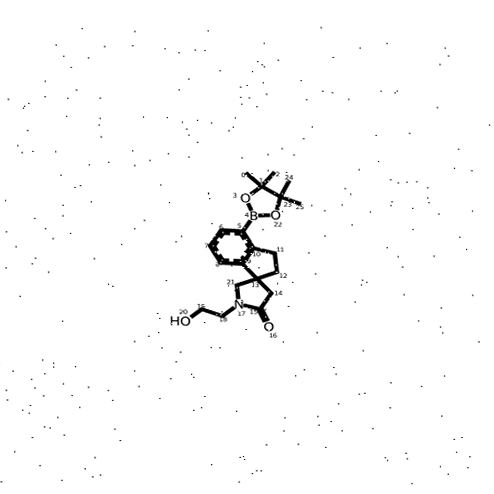 CC1(C)OB(c2cccc3c2CCC32CC(=O)N(CCO)C2)OC1(C)C